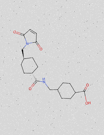 O=C(O)C1CCC(CNC(=O)[C@H]2CC[C@H](CN3C(=O)C=CC3=O)CC2)CC1